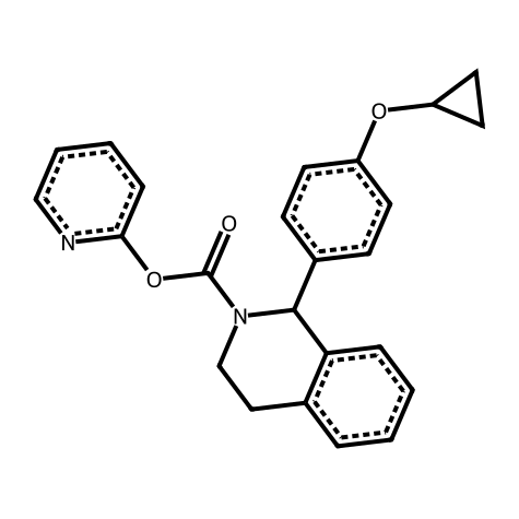 O=C(Oc1ccccn1)N1CCc2ccccc2C1c1ccc(OC2CC2)cc1